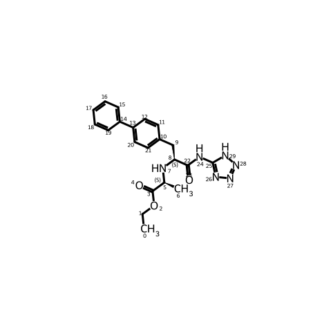 CCOC(=O)[C@H](C)N[C@@H](Cc1ccc(-c2ccccc2)cc1)C(=O)Nc1nnn[nH]1